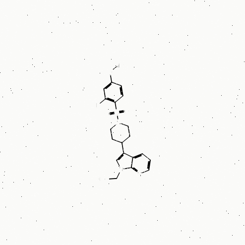 CC(C)Oc1ccc(S(=O)(=O)N2CCC(c3cn(CC=O)c4ncccc34)CC2)c(F)c1